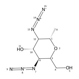 C[C@@H]1OC(CO)[C@@H](N=[N+]=[N-])[C@H](O)C1N=[N+]=[N-]